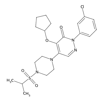 CC(C)S(=O)(=O)N1CCN(c2cnn(-c3cccc(Cl)c3)c(=O)c2OC2CCCC2)CC1